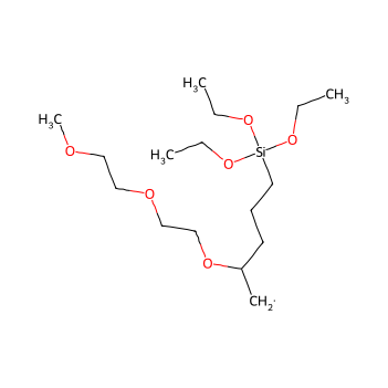 [CH2]C(CCC[Si](OCC)(OCC)OCC)OCCOCCOC